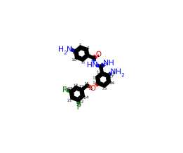 N=C(NC(=O)c1ccc(N)cc1)c1cc(OCc2cc(F)cc(F)c2)ccc1N